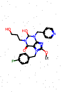 CCOc1nc2c(n1Cc1ccc(F)cc1)C(=O)N(CCCO)C(O)N2Cc1ccncc1